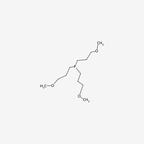 COCCCP(CCCOC)CCCOC